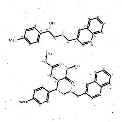 COc1ccc([C@@H](CSCc2cnc3ccccc3c2)N(OC(=O)OC(C)(C)C)C(=O)OC(C)(C)C)cc1.COc1ccc([C@H](O)CSCc2cnc3ccccc3c2)cc1